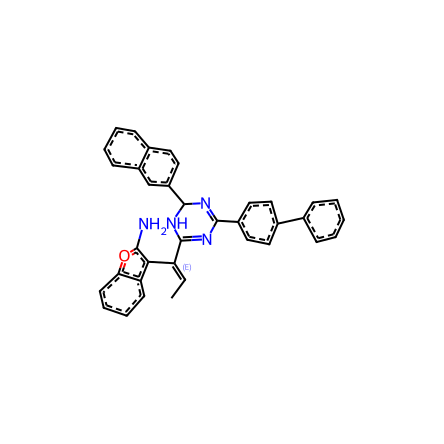 C/C=C(/C1=NC(c2ccc(-c3ccccc3)cc2)=NC(c2ccc3ccccc3c2)N1)c1c(N)oc2ccccc12